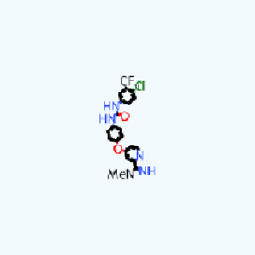 CNC(=N)c1cc(Oc2ccc(NC(=O)Nc3ccc(Cl)c(C(F)(F)F)c3)cc2)ccn1